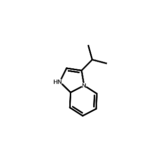 CC(C)C1=CNC2C=CC=CN12